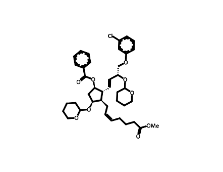 COC(=O)CCC/C=C\C[C@@H]1[C@@H](/C=C/[C@H](COc2cccc(Cl)c2)OC2CCCCO2)[C@H](OC(=O)c2ccccc2)C[C@@H]1OC1CCCCO1